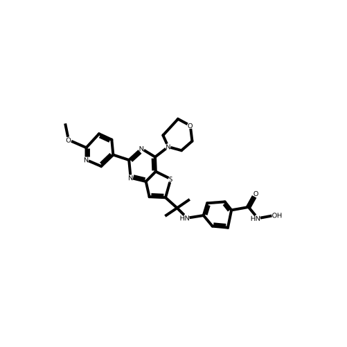 COc1ccc(-c2nc(N3CCOCC3)c3sc(C(C)(C)Nc4ccc(C(=O)NO)cc4)cc3n2)cn1